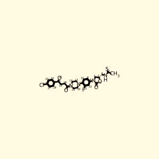 CC(=S)NC[C@H]1CN(c2ccc(N3CCN(C(=O)CCC(=O)c4ccc(Cl)cc4)CC3)c(F)c2)C(=O)O1